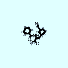 COC(=O)C(Cc1cccc(C#N)c1)NC(=O)c1ccccc1